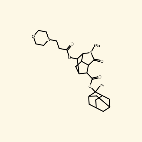 CC(C)C1(OC(=O)C2C3CC4C2C(=O)N(C(C)(C)C)C4C3OC(=O)CCN2CCOCC2)C2CC3CC(C2)CC1C3